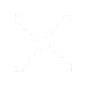 C[Si]1(CCCCC2CC3OC3C2)O[Si](C)(CCCCC2CC3OC3C2)O[Si](C)(CCCCC2CC3OC3C2)O[Si](C)(CCCCC2CC3OC3C2)O1